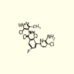 Cc1n[nH]c(Cl)c1NC(=O)c1cc(F)cc(-c2ccc(Cl)c(N)n2)c1OC(C)C